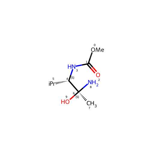 COC(=O)N[C@@H](C(C)C)[C@@](C)(N)O